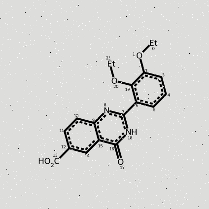 CCOc1cccc(-c2nc3ccc(C(=O)O)cc3c(=O)[nH]2)c1OCC